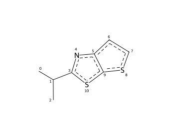 CC(C)c1nc2ccsc2s1